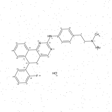 CCCCN(C)CCc1ccc(Nc2ncc3c(n2)-c2ccccc2C(c2ccccc2F)C3)cc1.Cl